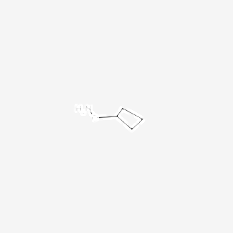 NO[C]1CCC1